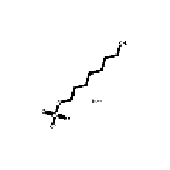 CCCCCCCCOS(=O)(=O)[O-].[Na+]